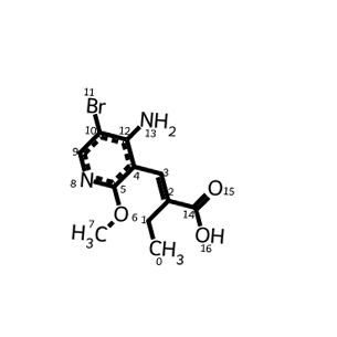 CC/C(=C\c1c(OC)ncc(Br)c1N)C(=O)O